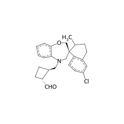 CC1CCc2cc(Cl)ccc2[C@@]12COc1ccccc1N(C[C@@H]1CC[C@H]1C=O)C2